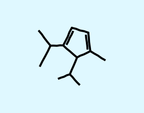 CC1=CC=C(C(C)C)C1C(C)C